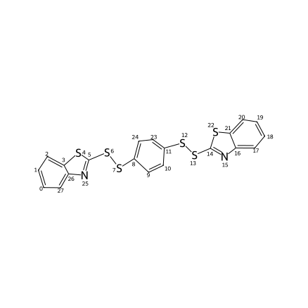 c1ccc2sc(SSc3ccc(SSc4nc5ccccc5s4)cc3)nc2c1